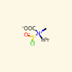 CCC[N+](C)(C(=O)[O-])[S+]([O-])Cl